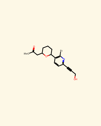 CCc1nc(C#CCO)ccc1C1CCCC(CC(=O)OC)O1